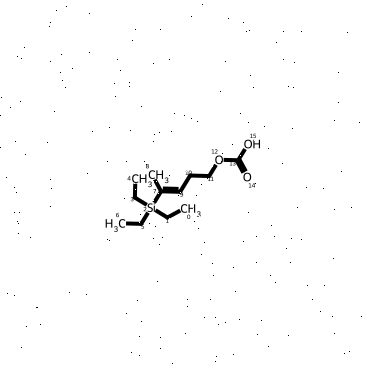 CC[Si](CC)(CC)C(C)=CCCOC(=O)O